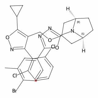 Cc1cc(-c2nnc(N3[C@@H]4CC[C@H]3CC(OCc3c(-c5c(Cl)cccc5Cl)noc3C3CC3)C4)o2)ccc1Br